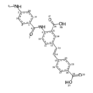 CNc1ccc(C(=O)Nc2ccc(/C=C/c3ccc(C(=O)O)cc3)cc2C(=O)O)cc1